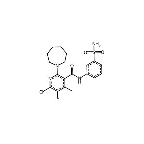 Cc1c(F)c(Cl)nc(N2CCCCCC2)c1C(=O)Nc1cccc(S(N)(=O)=O)c1